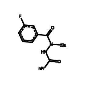 CCCC(=O)NN(C(=O)c1cccc(F)c1)C(C)(C)C